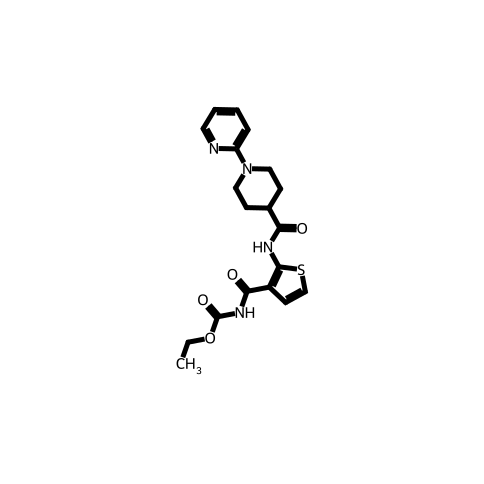 CCOC(=O)NC(=O)c1ccsc1NC(=O)C1CCN(c2ccccn2)CC1